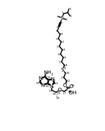 CC(C)C[Si](C)(C)C#CCCCCCCCCCCSCCCOP(=O)(O)CO[C@H](C)Cn1cnc2c(N)ncnc21